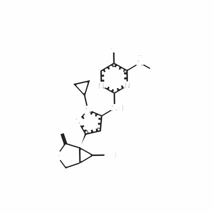 CCNc1nc(Nc2cc([C@]34C(=O)OCC3C4C)nn2C2CC2)ncc1C(F)(F)F